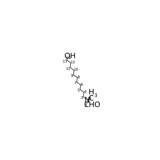 CN(C=O)CCCCCCCCCCCO